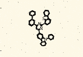 c1ccc(-c2cccc(-c3cc(-c4ccc5c6ccccc6n(-c6ccccc6)c5c4)nc(-c4cccc5c4sc4ccccc45)n3)c2)cc1